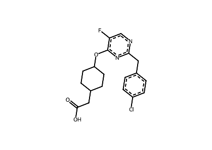 O=C(O)CC1CCC(Oc2nc(Cc3ccc(Cl)cc3)ncc2F)CC1